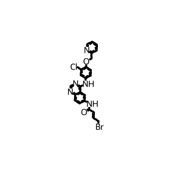 O=C(/C=C/CBr)Nc1ccc2ncnc(Nc3ccc(OCc4ccccn4)c(Cl)c3)c2c1